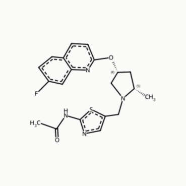 CC(=O)Nc1ncc(CN2C[C@H](Oc3ccc4ccc(F)cc4n3)C[C@@H]2C)s1